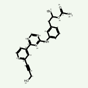 CC(C)(C)C(Cc1cccc(Nc2ncnc(-c3ccnc(C#CCO)c3)n2)c1)OC(N)=O